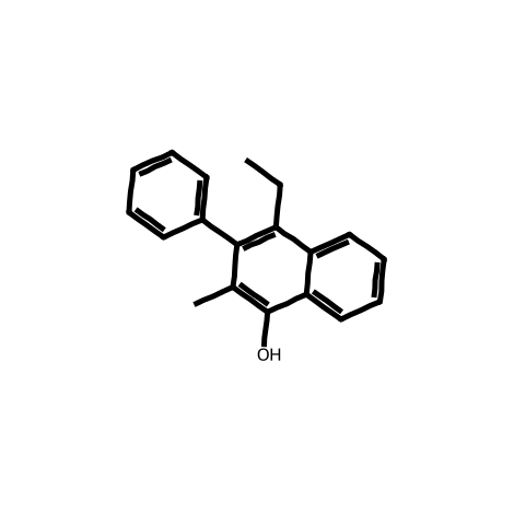 CCc1c(-c2ccccc2)c(C)c(O)c2ccccc12